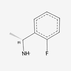 C[C@@H]([NH])c1ccccc1F